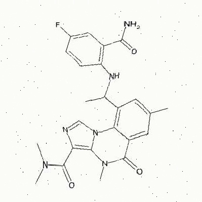 Cc1cc(C(C)Nc2ccc(F)cc2C(N)=O)c2c(c1)c(=O)n(C)c1c(C(=O)N(C)C)ncn21